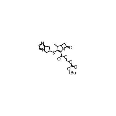 CC1C(SC2Cc3nccn3C2)=C(C(=O)OCOC(=O)OC(C)(C)C)N2C(=O)CC12